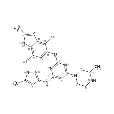 Cc1cc(Nc2cc(N3CCNC(C)C3)nc(Oc3cc(F)c4[nH]c(C)cc4c3F)n2)n[nH]1